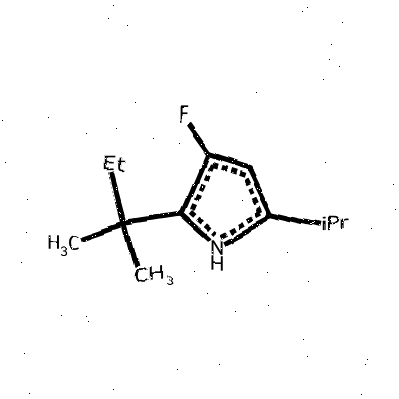 CCC(C)(C)c1[nH]c(C(C)C)cc1F